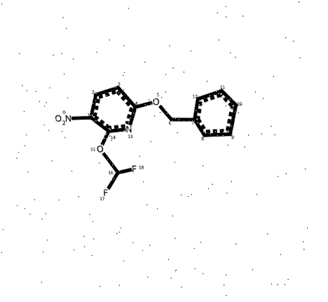 O=[N+]([O-])c1ccc(OCc2ccccc2)nc1OC(F)F